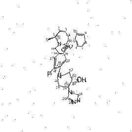 C[C@H]1CC[C@H](c2ccccc2)S(=O)(=O)N1Cc1cc(F)c(N2CC[C@H](n3cnnc3)[C@@H](O)C2)cc1F